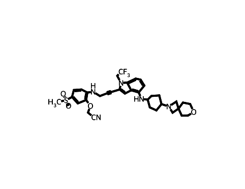 CS(=O)(=O)c1ccc(NCC#Cc2cc3c(NC4CCC(N5CC6(CCOCC6)C5)CC4)cccc3n2CC(F)(F)F)c(OCC#N)c1